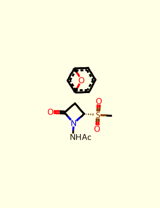 CC(=O)NN1C(=O)C[C@@H]1S(C)(=O)=O.c1cc2cc(c1)O2